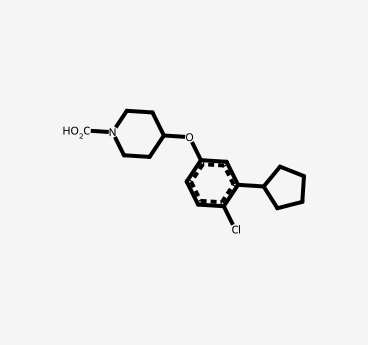 O=C(O)N1CCC(Oc2ccc(Cl)c(C3CCCC3)c2)CC1